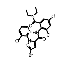 CCN(CC)C(=O)c1cc(Cl)cc(Cl)c1NC(=O)c1cc(Br)nn1-c1ncccc1Cl